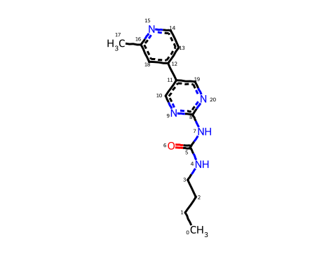 CCCCNC(=O)Nc1ncc(-c2ccnc(C)c2)cn1